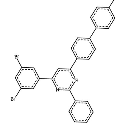 Nc1ccc(-c2ccc(-c3cc(-c4cc(Br)cc(Br)c4)nc(-c4ccccc4)n3)cc2)cc1